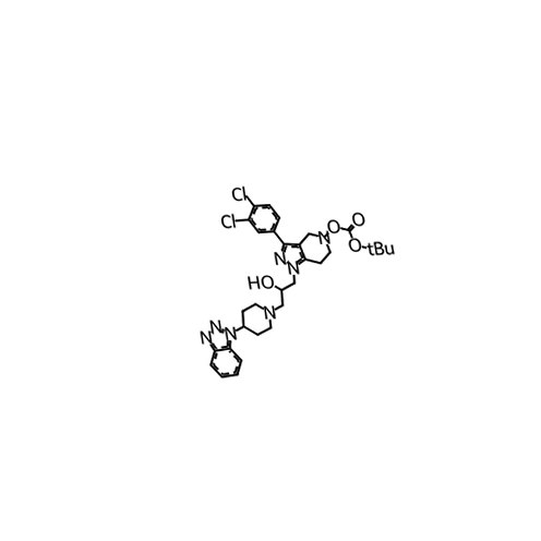 CC(C)(C)OC(=O)ON1CCc2c(c(-c3ccc(Cl)c(Cl)c3)nn2CC(O)CN2CCC(n3nnc4ccccc43)CC2)C1